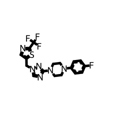 Fc1ccc(N2CCN(c3ncn(Cc4cnc(C(F)(F)F)s4)n3)CC2)cc1